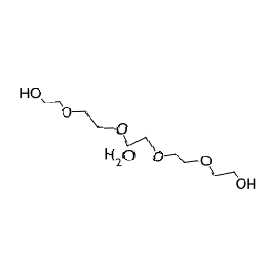 O.OCCOCCOCCOCCOCCO